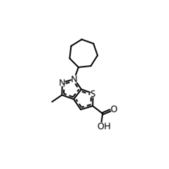 Cc1nn(C2CCCCCC2)c2sc(C(=O)O)cc12